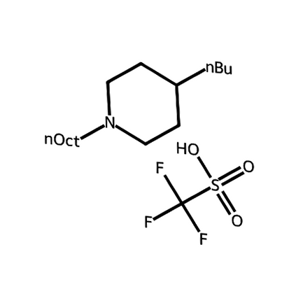 CCCCCCCCN1CCC(CCCC)CC1.O=S(=O)(O)C(F)(F)F